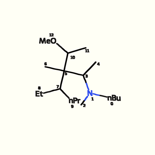 CCCCN(C)C(C)C(C)(C(CC)CCC)C(C)OC